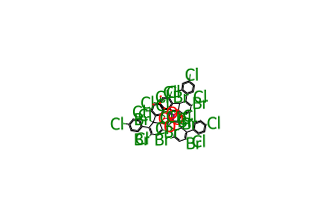 O=P(OC1C(Br)=CC(Br)=C(c2c(Cl)cc(Cl)cc2Cl)C1(Br)c1c(Cl)cc(Cl)cc1Cl)(OC1C(Br)=CC(Br)=C(c2c(Cl)cc(Cl)cc2Cl)C1(Br)c1c(Cl)cc(Cl)cc1Cl)OC1C(Br)=CC(Br)=C(c2c(Cl)cc(Cl)cc2Cl)C1(Br)c1c(Cl)cc(Cl)cc1Cl